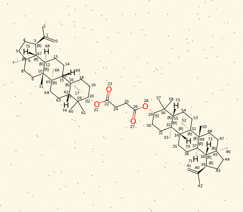 C=C(C)[C@@H]1CC[C@]2(C)CC[C@]3(C)[C@H](CC[C@@H]4[C@@]5(C)CC[C@H](OC(=O)CCC(=O)O[C@H]6CC[C@]7(C)[C@H]8CC[C@@H]9[C@H]%10[C@H](C(=C)C)CC[C@]%10(C)CC[C@@]9(C)[C@]8(C)CC[C@H]7C6(C)C)C(C)(C)[C@@H]5CC[C@]43C)[C@@H]12